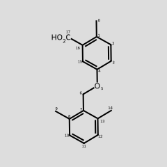 Cc1ccc(OCc2c(C)cccc2C)cc1C(=O)O